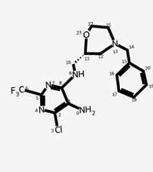 Nc1c(Cl)nc(C(F)(F)F)nc1NC[C@H]1CN(Cc2ccccc2)CCO1